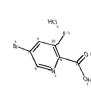 Cl.O=C(O)c1ncc(Br)cc1F